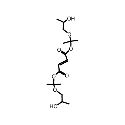 CC(O)COC(C)(C)OC(=O)/C=C/C(=O)OC(C)(C)OCC(C)O